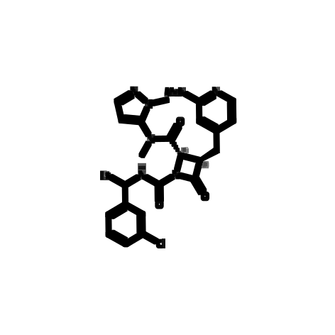 CCC(NC(=O)N1C(=O)[C@H](Cc2ccnc(NC)c2)[C@H]1C(=O)N(C)c1ccnn1C)c1cccc(Cl)c1